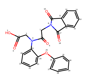 O=C(O)CN(C(=O)CN1C(=O)c2ccccc2C1=O)c1ccccc1Oc1ccccc1